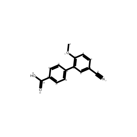 COc1ccc(C#N)cc1-c1ccc(C(=O)O)cc1